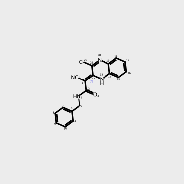 N#C/C(C(=O)NCc1ccccc1)=C1/Nc2ccccc2N=C1Cl